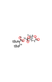 CC1CC2CC(=O)OC1C2OC(=O)COC(=O)C(CC(C)(C)C)C(C)(C)C